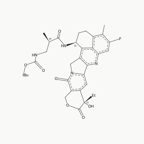 CC[C@@]1(O)C(=O)OCc2c1cc1n(c2=O)Cc2c-1nc1cc(F)c(C)c3c1c2[C@@H](NC(=O)[C@H](C)CNC(=O)OC(C)(C)C)CC3